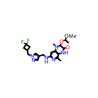 COC(C)OC1C(=O)Nc2c(cc(NCc3cnn(CC4CC(F)(F)C4)c3)nc2C)N1C